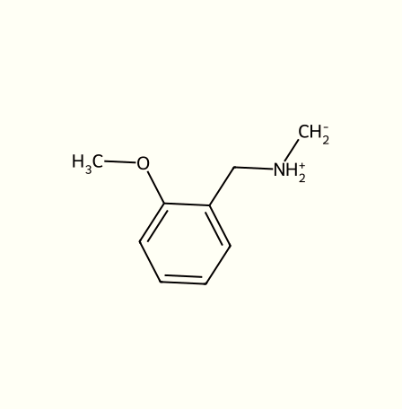 [CH2-][NH2+]Cc1ccccc1OC